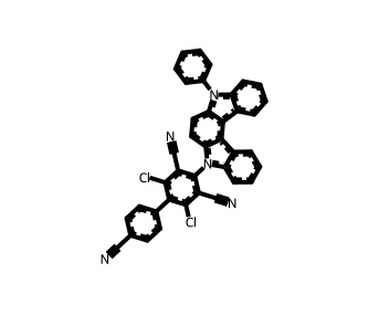 N#Cc1ccc(-c2c(Cl)c(C#N)c(-n3c4ccccc4c4c5c6ccccc6n(-c6ccccc6)c5ccc43)c(C#N)c2Cl)cc1